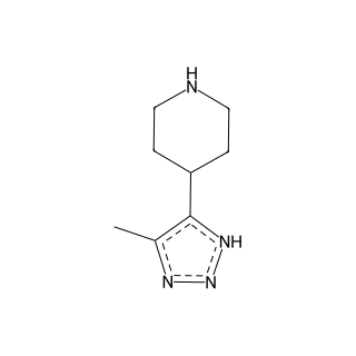 Cc1nn[nH]c1C1CCNCC1